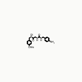 CCN(Cc1ccc(OC)cc1)C(=O)CNC(=O)NCc1ccc(N)cc1